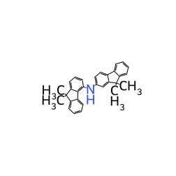 CC1(C)c2ccccc2-c2ccc(Nc3cccc4c3-c3ccccc3C4(C)C)cc21